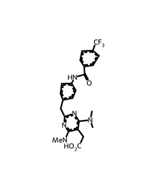 CNc1nc(Cc2ccc(NC(=O)c3ccc(C(F)(F)F)cc3)cc2)nc(N(C)C)c1CC(=O)O